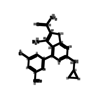 COc1cc(Cl)cc(-c2nc(NC3CC3)nc3sc(C(N)=O)c(N)c23)c1